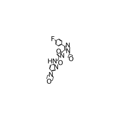 O=C(Nc1ccc(N2CCOCC2)cn1)c1coc(-c2c(-c3ccc(F)cc3)ncn2C2COC2)n1